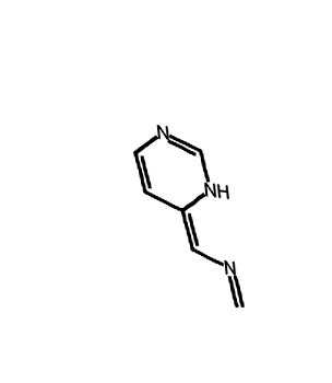 C=N/C=C1/C=CN=CN1